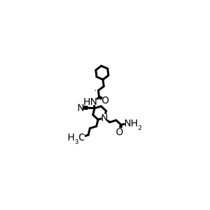 CCCCC1CC(C#N)(NC(=O)[CH]CC2CCCCC2)CCN1CCC(N)=O